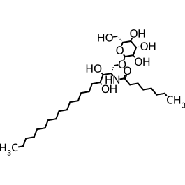 CCCCCCCCCCCCCCC[C@@H](O)[C@@H](O)[C@H](CO[C@H]1O[C@H](CO)[C@@H](O)[C@H](O)[C@H]1O)NC(=O)CCCCCCC